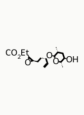 C=C[C@H](CC[C@H]1O[C@@H]1C(=O)OCC)O[C@@H]1O[C@@H](C)[C@H](O)C[C@H]1C